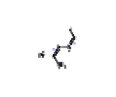 C/C=N\C=C(/N)C(C)C